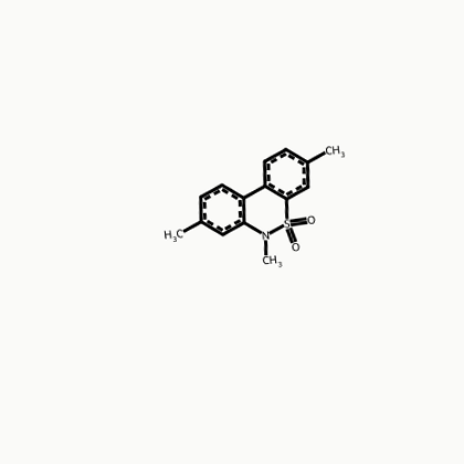 Cc1ccc2c(c1)N(C)S(=O)(=O)c1cc(C)ccc1-2